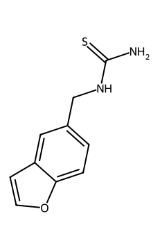 NC(=S)NCc1ccc2occc2c1